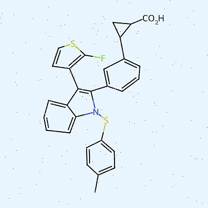 Cc1ccc(Sn2c(-c3cccc(C4CC4C(=O)O)c3)c(-c3ccsc3F)c3ccccc32)cc1